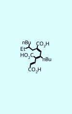 CCCCC(C=C(CC(CC)CCCC)C(=O)O)=C(C=CC(=O)O)C(=O)O